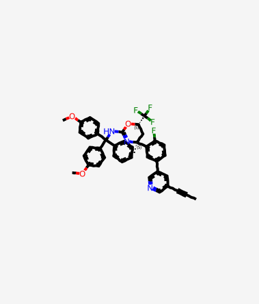 CC#Cc1cncc(-c2ccc(F)c([C@]3(C)C[C@@H](C(F)(F)F)OC(NC(c4ccccc4)(c4ccc(OC)cc4)c4ccc(OC)cc4)=N3)c2)c1